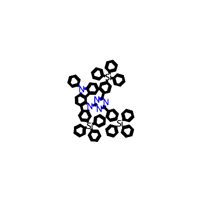 c1ccc(-n2c3ccccc3c3c2ccc2c4ccc([Si](c5ccccc5)(c5ccccc5)c5ccccc5)cc4n(-c4nc(-c5ccc([Si](c6ccccc6)(c6ccccc6)c6ccccc6)cc5)nc(-c5ccc([Si](c6ccccc6)(c6ccccc6)c6ccccc6)cc5)n4)c23)cc1